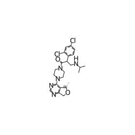 CC(C)NCC(C(=O)N1CCN(c2ncnc3c2[C@H](C)OC3)CC1)c1ccc(Cl)cc1Cl